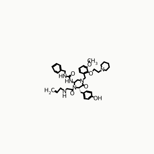 C=CCNCC(=O)N1[C@@H](NC(=O)NCc2ccccc2)CN(Cc2cccc(OC)c2OCCN2CCCCC2)C(=O)[C@@H]1Cc1ccc(O)cc1